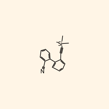 C[Si](C)(C)C#Cc1ccccc1-c1ccccc1C#N